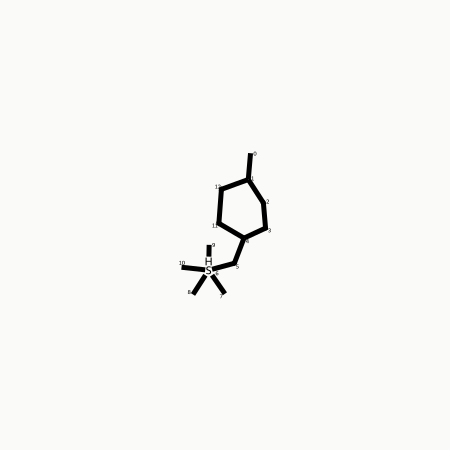 CC1CCC(C[SH](C)(C)(C)C)CC1